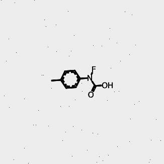 Cc1ccc(N(F)C(=O)O)cc1